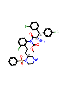 COC(=O)N(C(=O)[C@@H](N)[C@@H](c1ccc(Cl)cc1)c1cccc(F)c1)c1cccc(F)c1CC[C@H]1CNCCN1S(=O)(=O)c1ccccc1